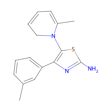 CC1=CC=CCN1c1sc(N)nc1-c1cccc(C)c1